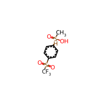 C[SH](=O)(O)c1ccc(S(=O)(=O)C(F)(F)F)cc1